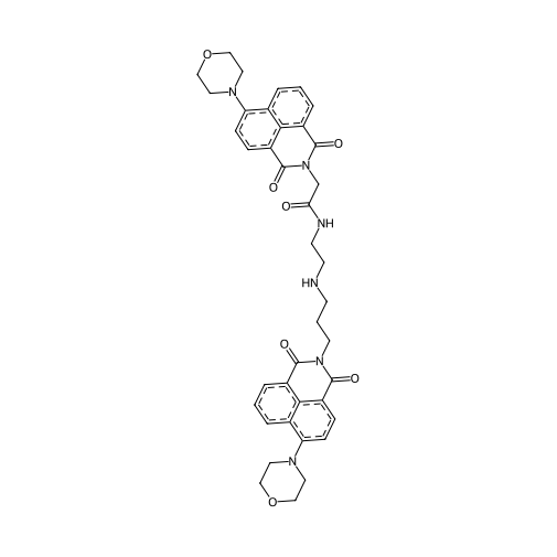 O=C(CN1C(=O)c2cccc3c(N4CCOCC4)ccc(c23)C1=O)NCCNCCCN1C(=O)c2cccc3c(N4CCOCC4)ccc(c23)C1=O